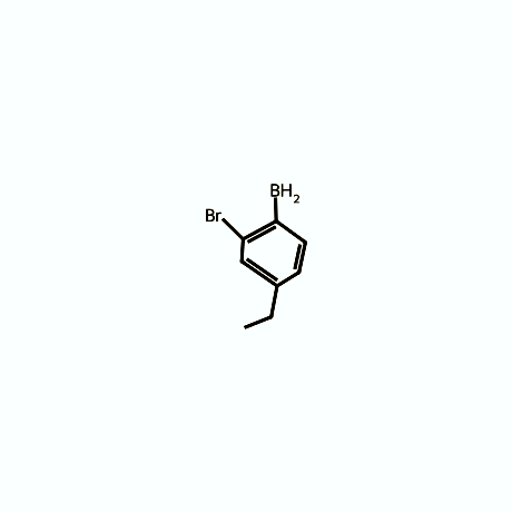 Bc1ccc(CC)cc1Br